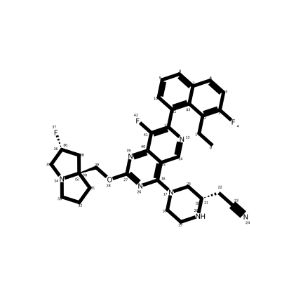 CCc1c(F)ccc2cccc(-c3ncc4c(N5CCN[C@@H](CC#N)C5)nc(OC[C@@]56CCCN5C[C@H](F)C6)nc4c3F)c12